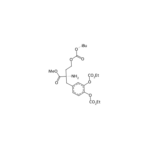 CCOC(=O)Oc1ccc(C[C@](N)(CCOC(=O)O[C@@H](C)CC)C(=O)OC)cc1OC(=O)OCC